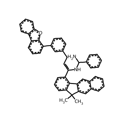 CC1(C)c2cc3ccccc3cc2-c2c(/C(=C/Cc3cccc(-c4cccc5c4oc4ccccc45)c3)NC(N)c3ccccc3)cccc21